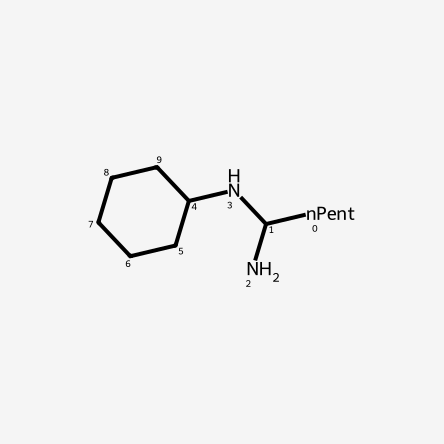 CCCCCC(N)NC1CCCCC1